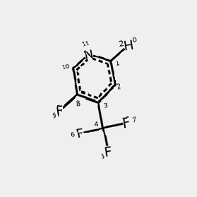 [2H]c1cc(C(F)(F)F)c(F)cn1